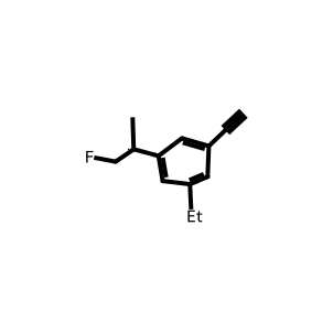 C#Cc1cc(CC)cc([C](C)CF)c1